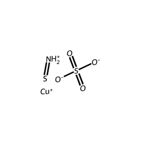 O=S(=O)([O-])[O-].[Cu+].[NH2+]=S